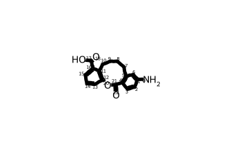 Nc1ccc2c(c1)CCCCc1c(cccc1C(=O)O)OC2=O